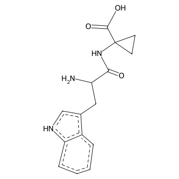 NC(Cc1c[nH]c2ccccc12)C(=O)NC1(C(=O)O)CC1